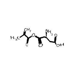 C=C(C)C(=O)OC(=O)[C@@H](N)CC(=O)O